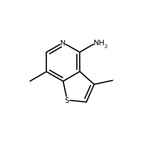 Cc1cnc(N)c2c(C)csc12